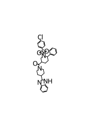 O=C(C1CCC(c2ccccc2)N(S(=O)(=O)c2ccc(Cl)cc2)C1)N1CCC(c2nc3ccccc3[nH]2)CC1